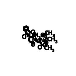 COC(=O)C(CCN1C(=O)CCC(N2C(=O)c3ccccc3C2=O)C1=O)NC(=O)C(C)N(C)C